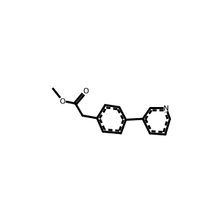 COC(=O)Cc1ccc(-c2cccnc2)cc1